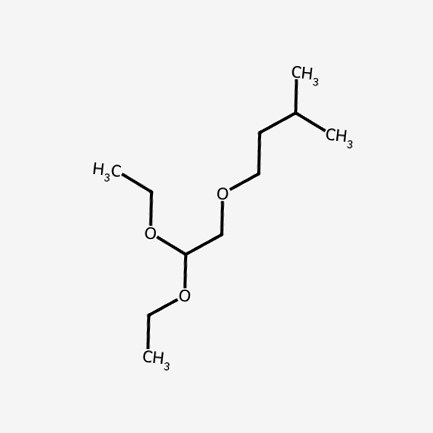 CCOC(COCCC(C)C)OCC